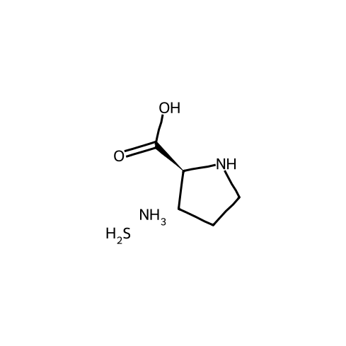 N.O=C(O)[C@@H]1CCCN1.S